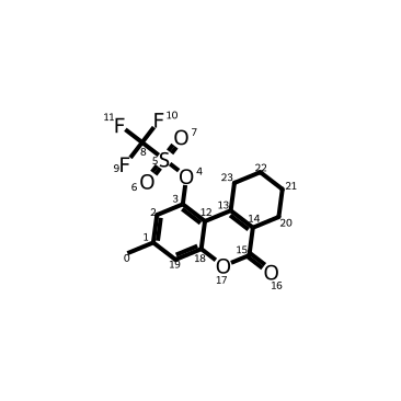 Cc1cc(OS(=O)(=O)C(F)(F)F)c2c3c(c(=O)oc2c1)CCCC3